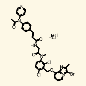 CC(=O)N(c1ccncc1)c1ccc(C=CC(=O)NCC(=O)N(C)c2ccc(Cl)c(COc3cccn4c(Br)c(C)nc34)c2Cl)cc1.Cl.Cl